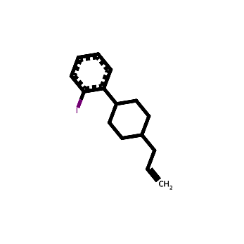 C=CCC1CCC(c2ccccc2I)CC1